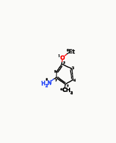 CCOc1ccc(C)c(N)c1